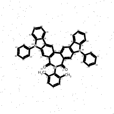 Cc1cccc(C)c1-n1c(=O)c2cc3c(cc2c2cc4c5ccccc5n(-c5ccccc5)c4cc2c1=O)c1ccccc1n3-c1ccccc1